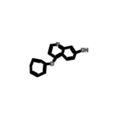 Oc1ccc2c(OC3=CC=CCC=C3)ccnc2c1